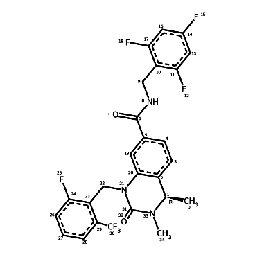 C[C@@H]1c2ccc(C(=O)NCc3c(F)cc(F)cc3F)cc2N(Cc2c(F)cccc2C(F)(F)F)C(=O)N1C